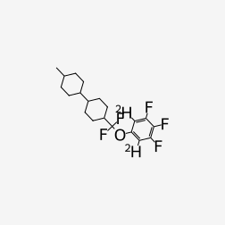 [2H]c1c(F)c(F)c(F)c([2H])c1OC(F)(F)C1CCC(C2CCC(C)CC2)CC1